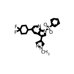 Cn1cc(-c2cn(S(=O)(=O)c3ccccc3)c3ncc(C4CCC(F)(F)CC4)cc23)cn1